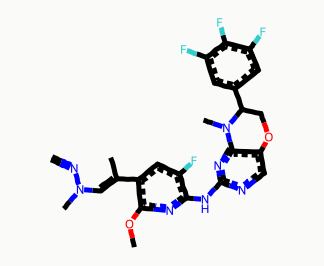 C=NN(C)/C=C(\C)c1cc(F)c(Nc2ncc3c(n2)N(C)C(c2cc(F)c(F)c(F)c2)CO3)nc1OC